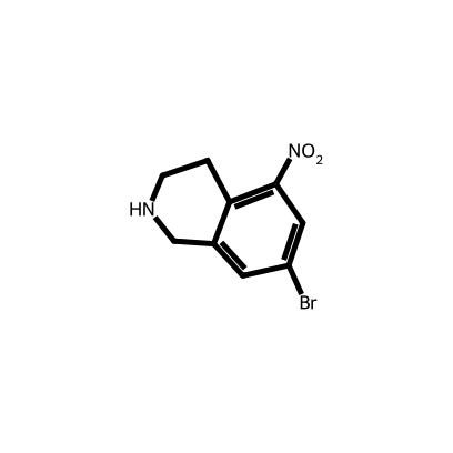 O=[N+]([O-])c1cc(Br)cc2c1CCNC2